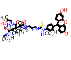 CC(O)CNC(=O)C(C)(C(C)(C)C(=O)NCCCNC(=S)Nc1ccc(C2=C3C=CC(=O)C=C3OC3C=C(O)C=CC23)c(C(=O)O)c1)C(C)(C)C(=O)NCC(=O)O